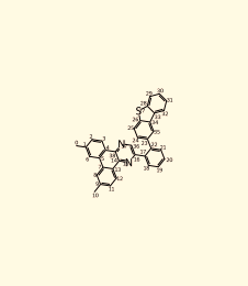 Cc1ccc2c(c1)c1cc(C)ccc1c1nc(-c3ccccc3-c3ccc4sc5ccccc5c4c3)cnc21